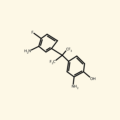 Nc1cc(C(c2ccc(F)c(N)c2)(C(F)(F)F)C(F)(F)F)ccc1O